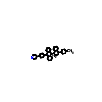 C=C(C1=c2ccccc2=C(C2=CC=C(C)CC2)CC1)c1ccccc1/C(=C1/C=CC=CC1)c1ccc(-c2ccncc2)cc1